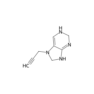 C#CCN1CNC2=NCNC=C21